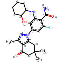 Cc1nn(-c2cc(F)c(C(N)=O)c(NC3CCCCC3O)c2)c2c1C(=O)CC(C)(C)C2